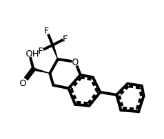 O=C(O)[C@@H]1Cc2ccc(-c3ccccc3)cc2O[C@@H]1C(F)(F)F